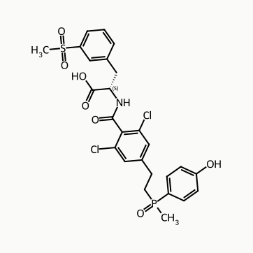 CP(=O)(CCc1cc(Cl)c(C(=O)N[C@@H](Cc2cccc(S(C)(=O)=O)c2)C(=O)O)c(Cl)c1)c1ccc(O)cc1